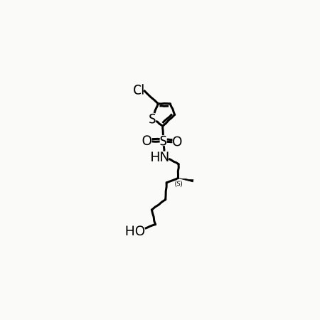 C[C@@H](CCCCO)CNS(=O)(=O)c1ccc(Cl)s1